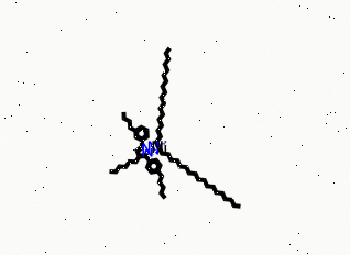 CCCCCCC1=C(c2ccc(CCCCC)cc2)[N+](=[N-])C(c2cccc(CCCC)c2)=C1.CCCCCCCCCCCCCCCCC[CH2][Ni][CH2]CCCCCCCCCCCCCCCCC